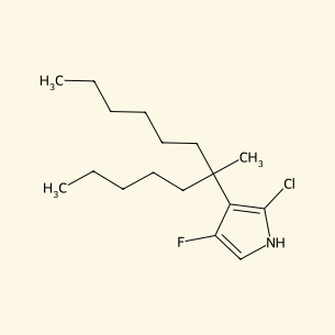 CCCCCCC(C)(CCCCC)c1c(F)c[nH]c1Cl